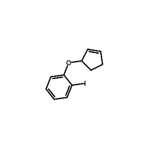 Ic1ccccc1OC1C=CCC1